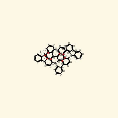 CC1(C)c2ccccc2C2C=CC(N(c3ccccc3-c3ccc(-n4c5ccccc5c5ccccc54)cc3)c3ccccc3-c3cccc4cccc(-c5ccccc5)c34)=CC21